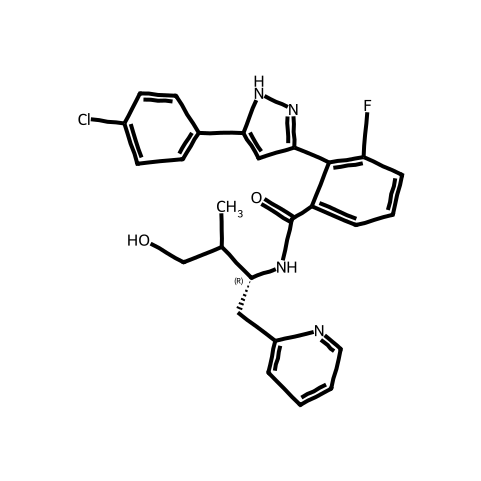 CC(CO)[C@@H](Cc1ccccn1)NC(=O)c1cccc(F)c1-c1cc(-c2ccc(Cl)cc2)[nH]n1